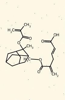 C=C(C)C(=O)OC1(C)C2CC3CC(C2)CC1C3.C=C(CC=CC(=O)O)C(=O)OC